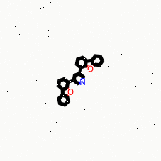 c1ccc2c(c1)oc1c(-c3cncc(-c4cccc5c4oc4ccccc45)c3)cccc12